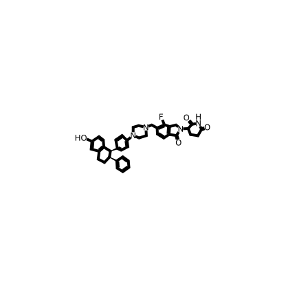 O=C1CCC(N2Cc3c(ccc(CN4CCN(c5ccc([C@@H]6c7ccc(O)cc7CC[C@@H]6c6ccccc6)cc5)CC4)c3F)C2=O)C(=O)N1